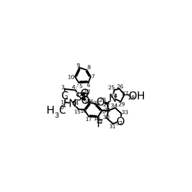 C[C@H]1CC[C@H](c2ccccc2)S(=O)(=O)N1Cc1cc(F)c(C2(C(=O)N3CC[C@@H](O)C3)CCOCC2)cc1F